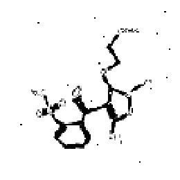 COCCOC1C(C(=O)c2ccccc2S(C)(=O)=O)=C(C)ON1Cl